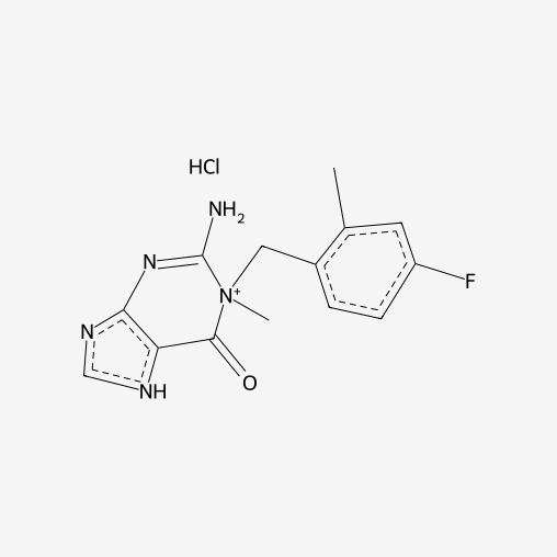 Cc1cc(F)ccc1C[N+]1(C)C(=O)c2[nH]cnc2N=C1N.Cl